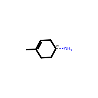 CC1=CC[C@H](N)CC1